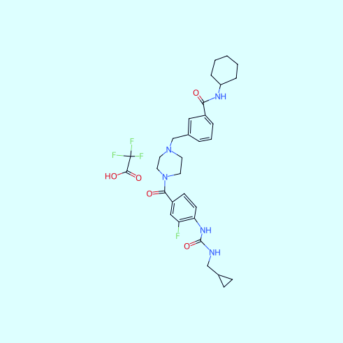 O=C(NCC1CC1)Nc1ccc(C(=O)N2CCN(Cc3cccc(C(=O)NC4CCCCC4)c3)CC2)cc1F.O=C(O)C(F)(F)F